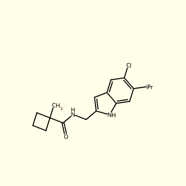 CC(C)c1cc2[nH]c(CNC(=O)C3(C)CCC3)cc2cc1Cl